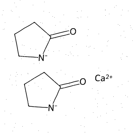 O=C1CCC[N-]1.O=C1CCC[N-]1.[Ca+2]